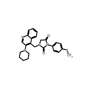 O=C1CN(Cc2c(N3CCCCC3)cnc3ccccc23)C(=O)N1c1ccc(SC(F)(F)F)cc1